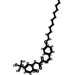 CCCCCCCCCCCCOc1ccc(/C=N\NC(=O)Cn2cc(C(F)(F)F)ccc2=O)cc1